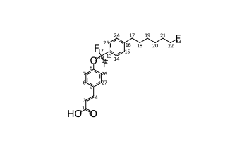 O=C(O)C=Cc1ccc(OC(F)(F)c2ccc(CCCCCCF)cc2)cc1